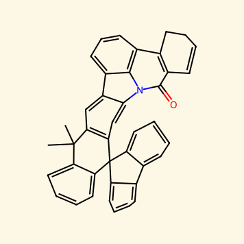 CC1(C)c2ccccc2C2(c3ccccc3-c3ccccc32)c2cc3c(cc21)c1cccc2c4c(c(=O)n3c21)C=CCC4